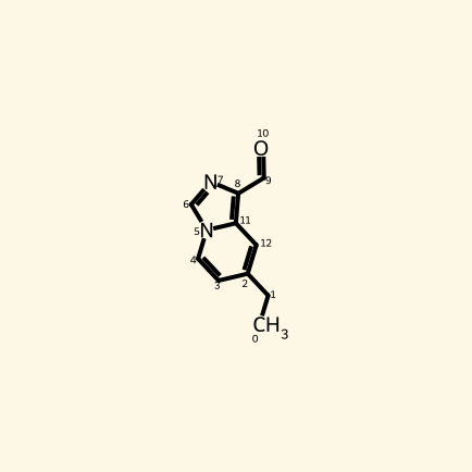 CCc1ccn2cnc(C=O)c2c1